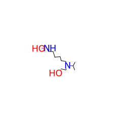 CC(C)N(CCO)CCCCCCNO